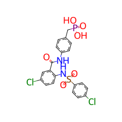 O=C(Nc1ccc(CP(=O)(O)O)cc1)c1cc(Cl)ccc1NS(=O)(=O)c1ccc(Cl)cc1